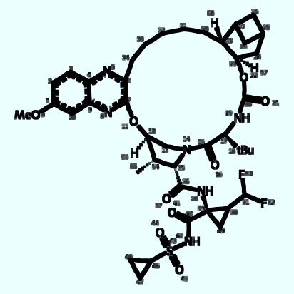 COc1ccc2nc3c(nc2c1)O[C@H]1CN(C(=O)[C@H](C(C)(C)C)NC(=O)O[C@@H]2CC4CC(C4)[C@H]2CCCCC3)[C@H](C(=O)N[C@]2(C(=O)NS(=O)(=O)C3CC3)CC2C(F)F)[C@@H]1C